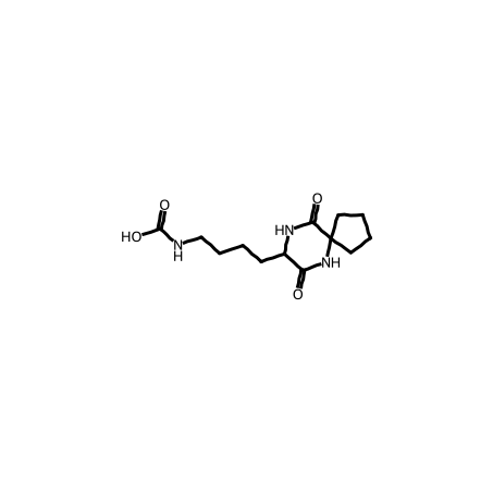 O=C(O)NCCCCC1NC(=O)C2(CCCC2)NC1=O